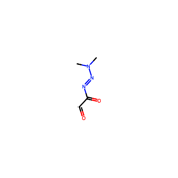 CN(C)N=NC(=O)[C]=O